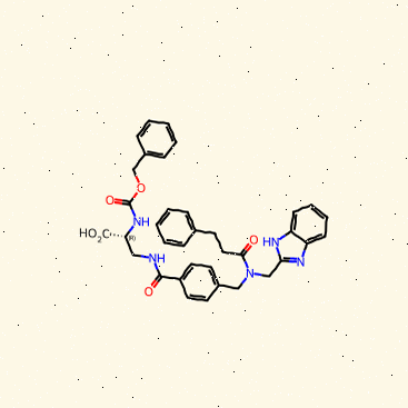 O=C(N[C@H](CNC(=O)c1ccc(CN(Cc2nc3ccccc3[nH]2)C(=O)CCc2ccccc2)cc1)C(=O)O)OCc1ccccc1